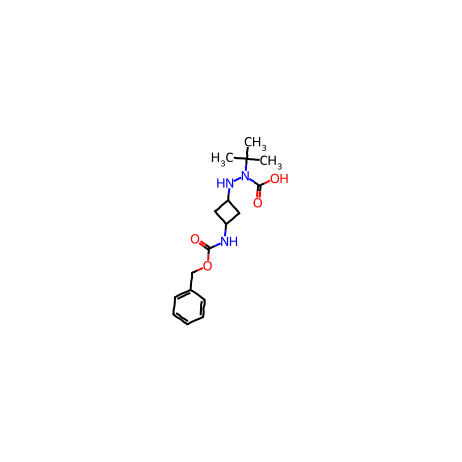 CC(C)(C)N(NC1CC(NC(=O)OCc2ccccc2)C1)C(=O)O